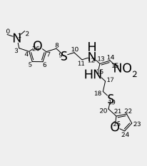 CN(C)Cc1ccc(CSCCNC(=C[N+](=O)[O-])NCCSCc2ccco2)o1